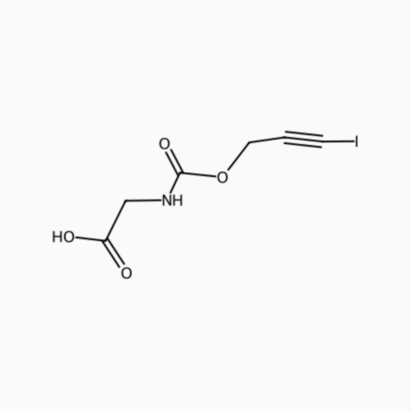 O=C(O)CNC(=O)OCC#CI